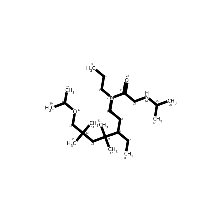 CCCN(CCC(CC)C(C)(C)CC(C)(C)COC(C)C)C(=O)CNC(C)C